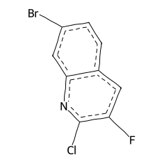 Fc1cc2ccc(Br)cc2nc1Cl